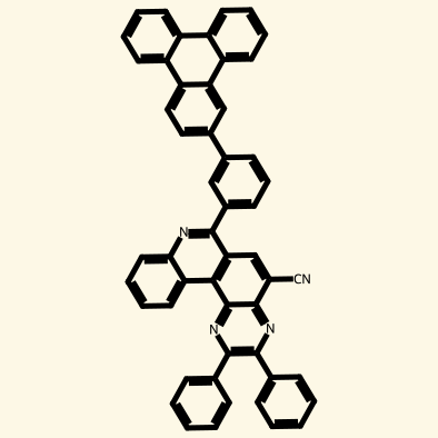 N#Cc1cc2c(-c3cccc(-c4ccc5c6ccccc6c6ccccc6c5c4)c3)nc3ccccc3c2c2nc(-c3ccccc3)c(-c3ccccc3)nc12